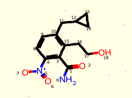 NC(=O)c1c([N+](=O)[O-])ccc(CC2CC2)c1CCO